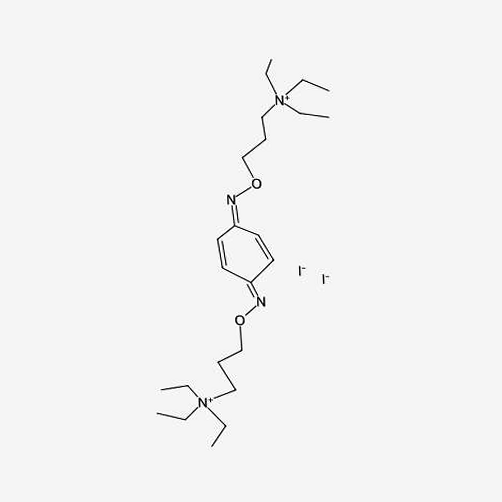 CC[N+](CC)(CC)CCCON=C1C=CC(=NOCCC[N+](CC)(CC)CC)C=C1.[I-].[I-]